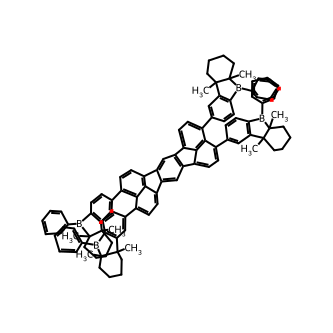 CC12CCCCC1(C)c1cc(-c3ccc4c5cc6c(cc5c5ccc(-c7ccc8c(c7)C7(C)CCCCC7(C)B8c7ccccc7)c3c45)c3ccc(-c4ccc5c(c4)C4(C)CCCCC4(C)B5c4ccccc4)c4c(-c5ccc7c(c5)C5(C)CCCCC5(C)B7c5ccccc5)ccc6c43)ccc1B2c1ccccc1